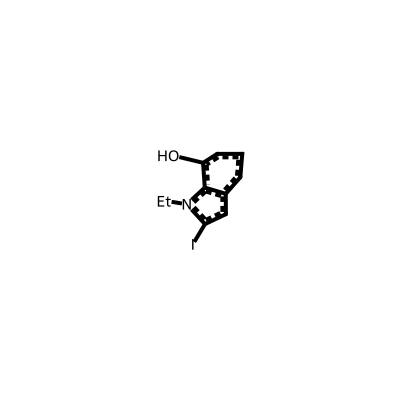 CCn1c(I)cc2cccc(O)c21